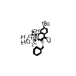 C[SiH](C)Oc1cc(C(C)(C)C)ccc1C(=O)[C@H](Cc1ccccc1)NC(=O)O